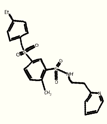 CCc1ccc(S(=O)(=O)c2ccc(C)c(S(=O)(=O)NCCc3ccccn3)c2)cc1